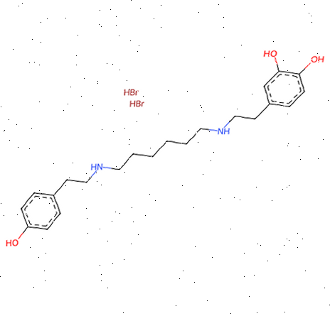 Br.Br.Oc1ccc(CCNCCCCCCNCCc2ccc(O)c(O)c2)cc1